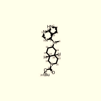 CN(c1ncnc2[nH]ccc12)C1CC[C@H]2CN(C(=O)OC(C)(C)C)CC[C@H]2C1